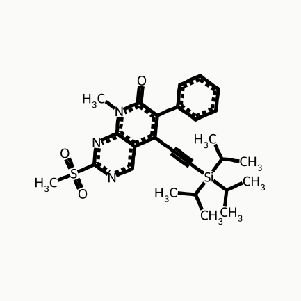 CC(C)[Si](C#Cc1c(-c2ccccc2)c(=O)n(C)c2nc(S(C)(=O)=O)ncc12)(C(C)C)C(C)C